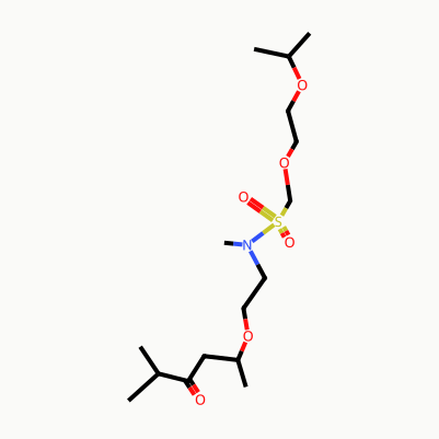 CC(C)OCCOCS(=O)(=O)N(C)CCOC(C)CC(=O)C(C)C